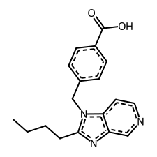 CCCCc1nc2cnccc2n1Cc1ccc(C(=O)O)cc1